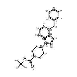 CC(C)(C)OC(=O)N1CCC(n2ncc3c(Cc4ccccc4)ncnc32)CC1